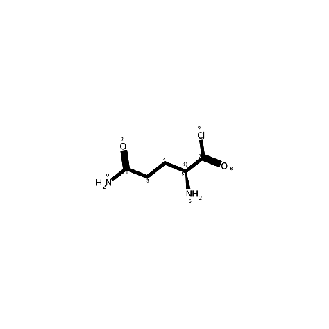 NC(=O)CC[C@H](N)C(=O)Cl